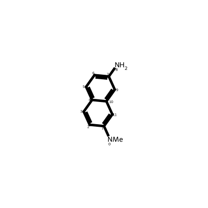 CNc1ccc2ccc(N)cc2c1